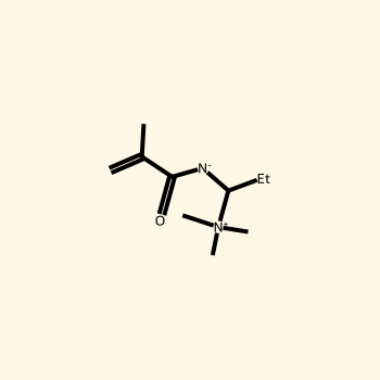 C=C(C)C(=O)[N-]C(CC)[N+](C)(C)C